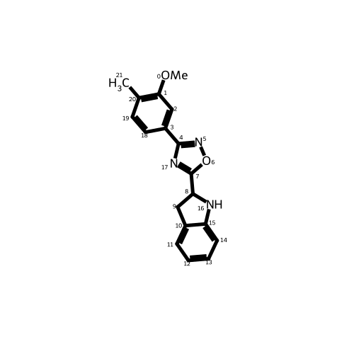 COc1cc(-c2noc(C3Cc4ccccc4N3)n2)ccc1C